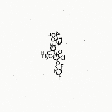 Cc1cnc(-n2cccc(C3(O)CC3)c2=O)cc1-n1c(C)cc(OCc2ncc(F)cc2F)c(Cl)c1=O